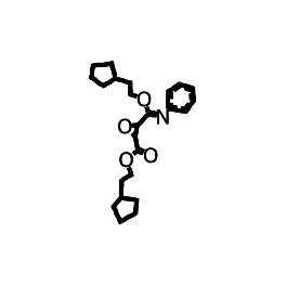 O=C(OCCC1CCCC1)C1OC1C(=Nc1ccccc1)OCCC1CCCC1